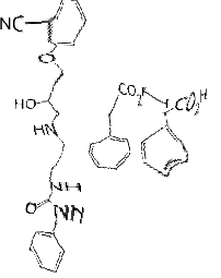 N#Cc1ccccc1OCC(O)CNCCNC(=O)Nc1ccccc1.O=C(O)Cc1ccccc1.O=C(O)Cc1ccccc1